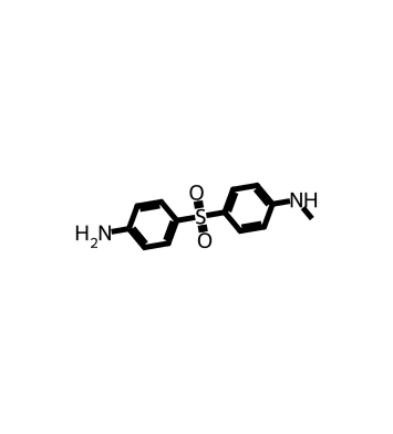 CNc1ccc(S(=O)(=O)c2ccc(N)cc2)cc1